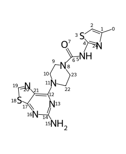 Cc1csc(NC(=O)N2CCN(c3nc(N)nc4scnc34)CC2)n1